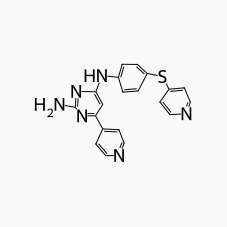 Nc1nc(Nc2ccc(Sc3ccncc3)cc2)cc(-c2ccncc2)n1